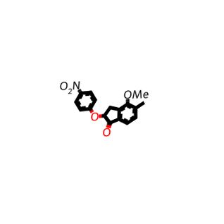 COc1c(C)ccc2c1CC(Oc1ccc([N+](=O)[O-])cc1)C2=O